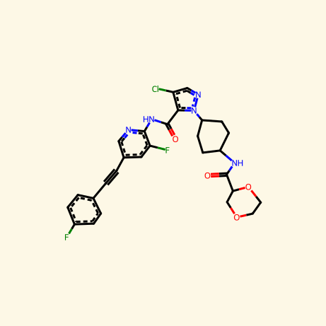 O=C(Nc1ncc(C#Cc2ccc(F)cc2)cc1F)c1c(Cl)cnn1C1CCC(NC(=O)C2COCCO2)CC1